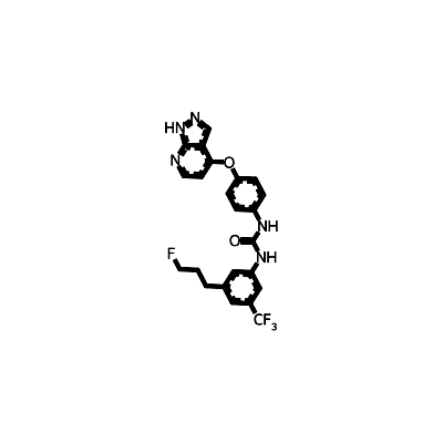 O=C(Nc1ccc(Oc2ccnc3[nH]ncc23)cc1)Nc1cc(CCCF)cc(C(F)(F)F)c1